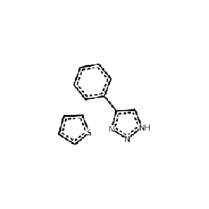 c1ccc(-c2c[nH]nn2)cc1.c1ccsc1